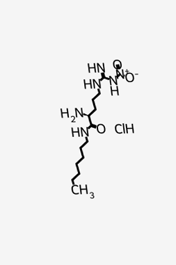 CCCCCCCNC(=O)[C@@H](N)CCCNC(=N)N[N+](=O)[O-].Cl